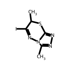 Cc1nnc2n1N=C(I)C(C)S2